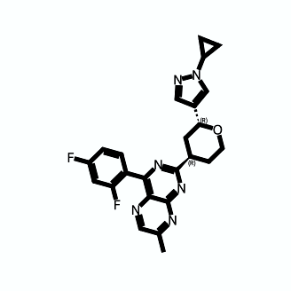 Cc1cnc2c(-c3ccc(F)cc3F)nc([C@@H]3CCO[C@@H](c4cnn(C5CC5)c4)C3)nc2n1